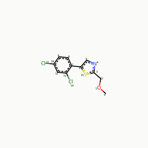 CO[CH]c1ncc(-c2ccc(Cl)cc2Cl)s1